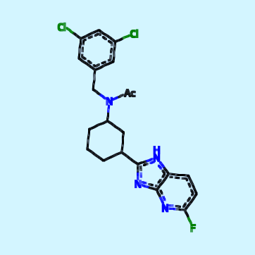 CC(=O)N(Cc1cc(Cl)cc(Cl)c1)C1CCCC(c2nc3nc(F)ccc3[nH]2)C1